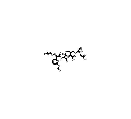 O=CNc1cccc(/C(=N\OCC(F)(F)F)C(=O)NC2C(=O)N3C(C(=O)O)=C(CSc4nnnn4CC(=O)O)CS[C@H]23)n1